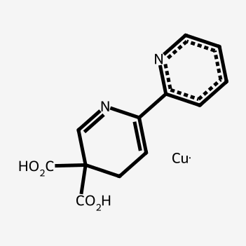 O=C(O)C1(C(=O)O)C=NC(c2ccccn2)=CC1.[Cu]